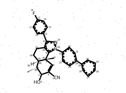 C[C@H]1C(O)C(C#N)=C[C@@]2(C)c3c(c(-c4ccc(F)cc4)nn3-c3ccc(-c4ccccc4)cc3)CC[C@H]12